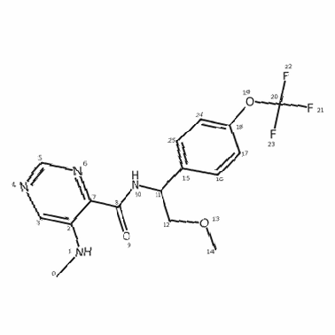 CNc1cncnc1C(=O)NC(COC)c1ccc(OC(F)(F)F)cc1